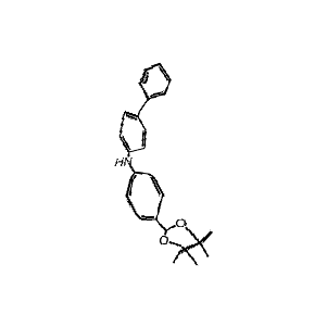 CC1(C)OC(c2ccc(Nc3ccc(-c4ccccc4)cc3)cc2)OC1(C)C